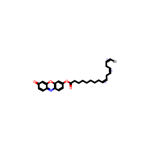 CC/C=C\C/C=C\C/C=C\CCCCCCCC(=O)Oc1ccc2nc3ccc(=O)cc-3oc2c1